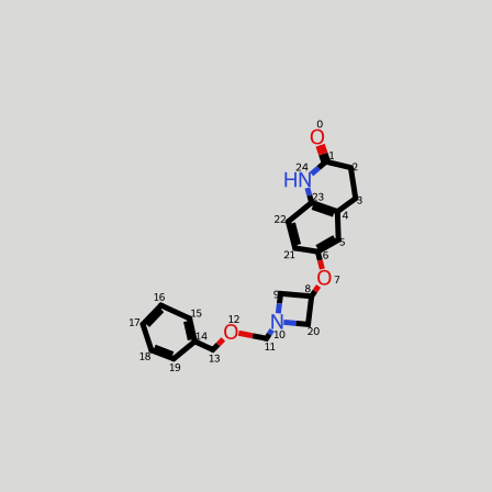 O=C1CCc2cc(OC3CN(COCc4ccccc4)C3)ccc2N1